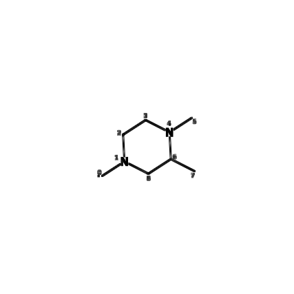 [CH2]N1CCN(C)C(C)C1